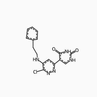 O=c1[nH]cc(-c2cc(NCCc3ccccc3)c(Cl)nn2)c(=O)[nH]1